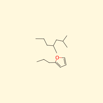 CCCC(C)CC(C)C.CCCc1ccco1